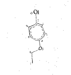 N#Cc1ccc(OCI)cc1